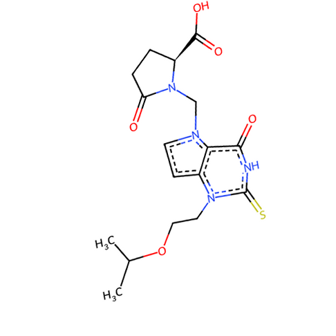 CC(C)OCCn1c(=S)[nH]c(=O)c2c1ccn2CN1C(=O)CC[C@H]1C(=O)O